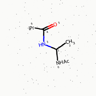 CC(=O)NC(C)NC(=O)C(C)C